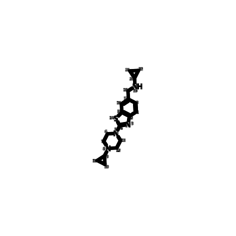 c1cc2nc(N3CCN(C4CC4)CC3)sc2cc1CNC1CC1